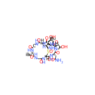 CC[C@H](C)[C@@H]1NC(=O)CNC(=O)[C@@H]2Cc3c([nH]c4ccc(O)cc34)[S+]([O-])C[C@H](NC(=O)CNC1=O)C(=O)N[C@@H](CC(N)=O)C(=O)N1C[C@H](O)C[C@H]1C(=O)N[C@@H]([C@@H](C)CC)C(=O)N2